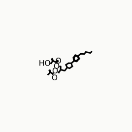 C=C(C)C(=O)OCC(COC(=O)C(=C)CO)CC1CCC(c2ccc(CCCCC)cc2)CC1